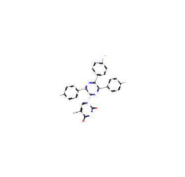 Cc1cn(-c2nc(-c3ccc(C(=O)O)cc3)c(-c3ccc(N)cc3)nc2-c2ccc(C(=O)O)cc2)c(=O)[nH]c1=O